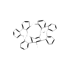 CC(C)c1c2c3cc4c1-c1ccccc1N1B4c4c(cccc4-c4ccccc41)Oc1cccc4c1B3N(c1ccccc1-4)c1ccccc1-2